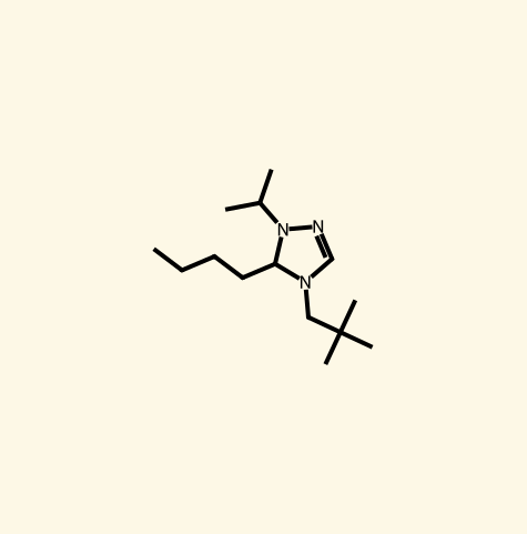 CCCCC1N(CC(C)(C)C)C=NN1C(C)C